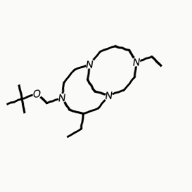 CCC1CN2CCN(CC)CCCN(CC2)CCN(COC(C)(C)C)C1